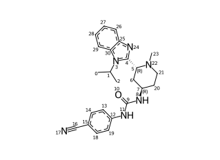 CC(C)n1c([C@H]2C[C@H](NC(=O)Nc3ccc(C#N)cc3)CCN2C)nc2ccccc21